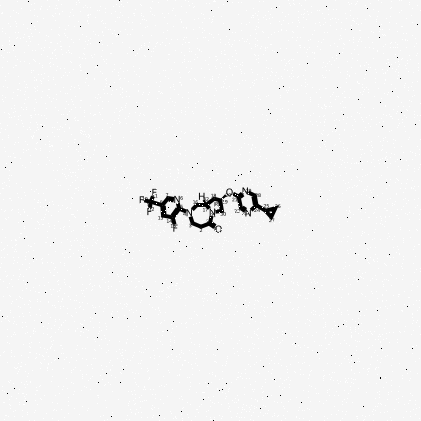 O=C1CCN(c2ncc(C(F)(F)F)cc2F)C[C@@H]2C[C@@H](Oc3cnc(C4CC4)cn3)CN12